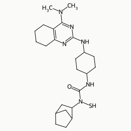 CN(C)c1nc(NC2CCC(NC(=O)N(S)C3CC4CCC3C4)CC2)nc2c1CCCC2